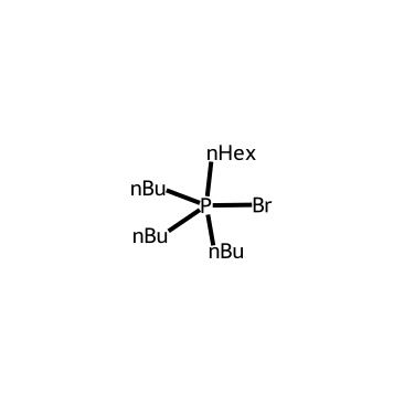 CCCCCCP(Br)(CCCC)(CCCC)CCCC